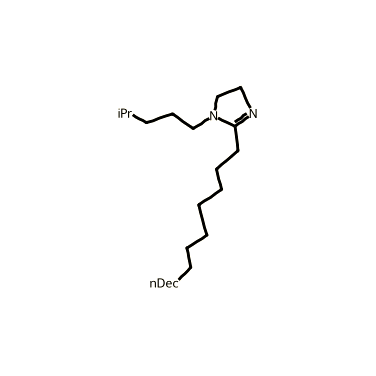 CCCCCCCCCCCCCCCCCC1=NCCN1CCCC(C)C